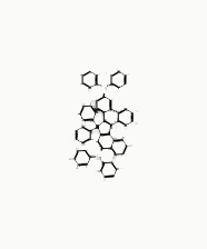 c1ccc(N(c2ccccc2)c2ccc3c4c(c5ccccc5c3c2)-c2c(cc(N(c3ccccc3)c3ccccc3)c3ccccc23)C4(c2ccccc2)c2ccccc2)cc1